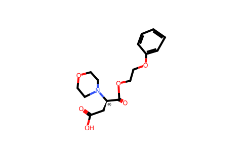 O=C(O)C[C@H](C(=O)OCCOc1ccccc1)N1CCOCC1